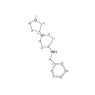 c1ccc(CNC2CCN(C3CCOC3)CC2)cc1